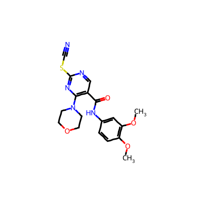 COc1ccc(NC(=O)c2cnc(SC#N)nc2N2CCOCC2)cc1OC